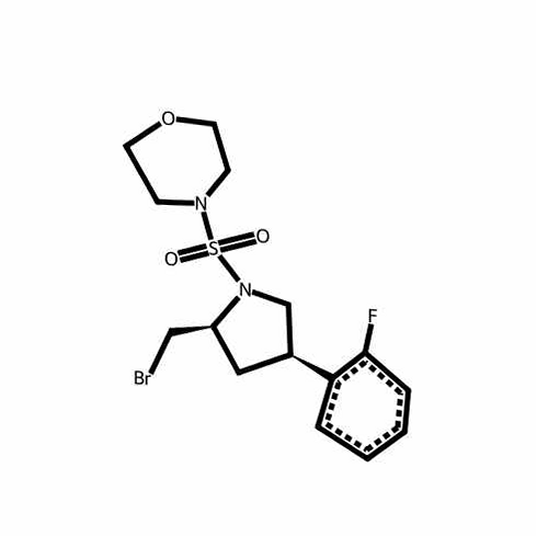 O=S(=O)(N1CCOCC1)N1C[C@@H](c2ccccc2F)C[C@H]1CBr